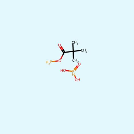 CC(C)(C)C(=O)OP.O=[PH](O)O